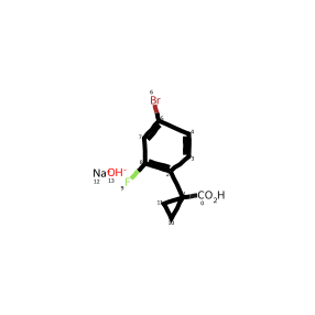 O=C(O)C1(c2ccc(Br)cc2F)CC1.[Na+].[OH-]